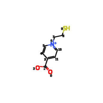 O=C([O-])c1cc[n+](CCS)cc1